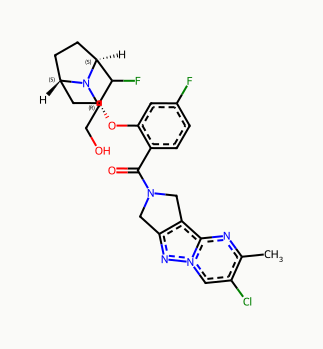 Cc1nc2c3c(nn2cc1Cl)CN(C(=O)c1ccc(F)cc1O[C@@H]1C[C@@H]2CC[C@@H](C1F)N2CCO)C3